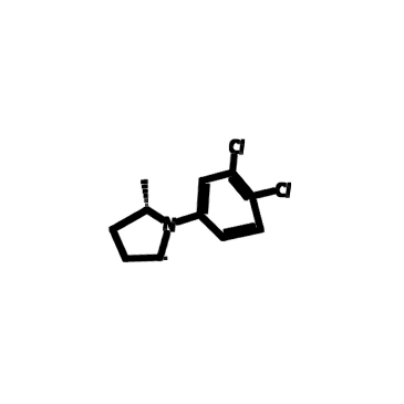 C[C@H]1CC[CH]N1c1ccc(Cl)c(Cl)c1